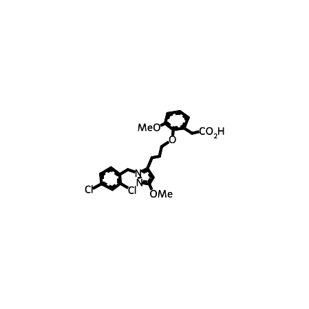 COc1cc(CCCOc2c(CC(=O)O)cccc2OC)n(Cc2ccc(Cl)cc2Cl)n1